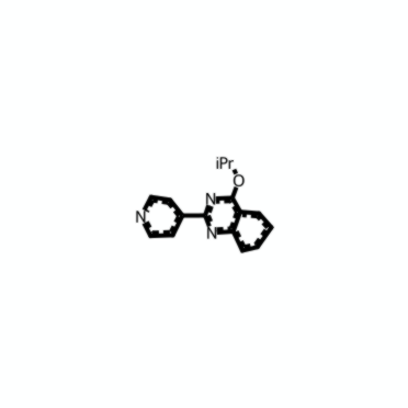 CC(C)Oc1nc(-c2ccncc2)nc2ccccc12